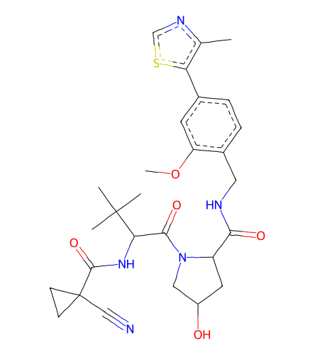 COc1cc(-c2scnc2C)ccc1CNC(=O)C1CC(O)CN1C(=O)C(NC(=O)C1(C#N)CC1)C(C)(C)C